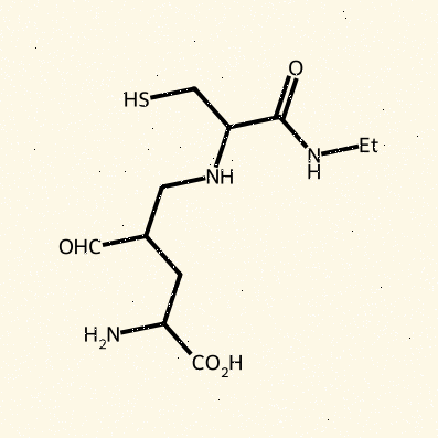 CCNC(=O)C(CS)NCC(C=O)CC(N)C(=O)O